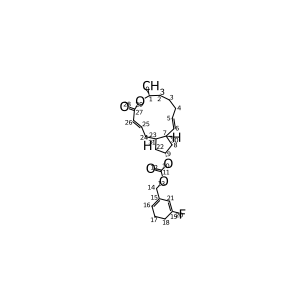 C[C@H]1CCC/C=C/[C@@H]2C[C@H](OC(=O)OCC3=CCCC(F)=C3)C[C@H]2C/C=C/C(=O)O1